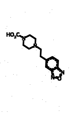 O=C(O)N1CCN(CCc2ccc3nonc3c2)CC1